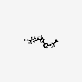 CC(CS(=O)(=O)N(C)C(=N)N)c1sc(-c2ccnc(-c3nc(C4CC4)no3)c2)cc1F